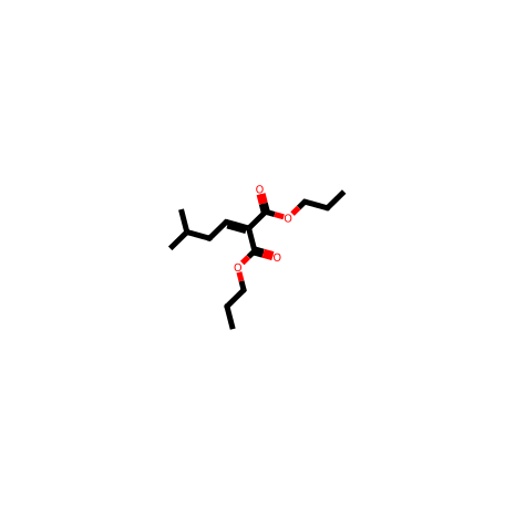 CCCOC(=O)C(=CCC(C)C)C(=O)OCCC